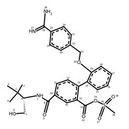 CC(C)(C)[C@@H](CO)NC(=O)c1ccc(-c2ccccc2OCc2ccc(C(=N)N)cc2)c(C(=O)OS(C)(=O)=O)c1